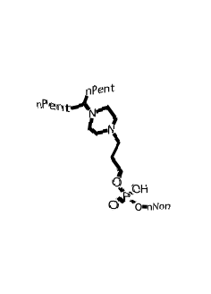 CCCCCCCCCOP(=O)(O)OCCCN1CCN(C(CCCCC)CCCCC)CC1